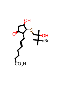 CCCCC(C)(C)C(C)(O)CS[C@H]1C(O)CC(=O)[C@@H]1CC=CCCCC(=O)O